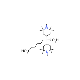 CN1C(C)(C)CC(C(CCCCCC(=O)O)(C(=O)O)C2CC(C)(C)N(C)C(C)(C)C2)CC1(C)C